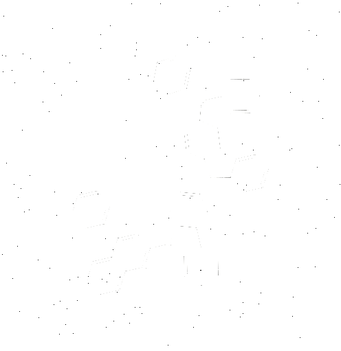 c1ccc(-c2nc(-n3c4ccccc4c4cc(C5c6ccccc6-c6c5ccc5c6c6ccccc6n5-c5ccccc5)ccc43)nc3ccccc23)cc1